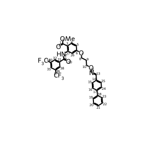 COC(=O)c1ccc(OCCCON=Cc2ccc(-c3ccccc3)cc2)cc1NC(=O)c1cc(C(F)(F)F)cc(C(F)(F)F)c1